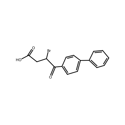 O=C(O)CC(Br)C(=O)c1ccc(-c2ccccc2)cc1